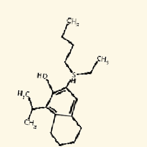 CCCC[SH](CC)c1cc2c(c(C(C)C)c1O)CCCC2